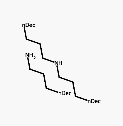 CCCCCCCCCCCCCN.CCCCCCCCCCCCCNCCCCCCCCCCCCC